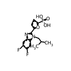 CC(C)Cn1c(-c2ccc(P(=O)(O)O)o2)nc2cc(F)c(F)cc21